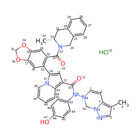 Cc1cnn2c1C=CN(N(C(=O)c1cc(-c3cc4c(cc3C(=O)N3Cc5ccccc5C[C@H]3C)OCO4)n3ccccc13)c1ccc(O)cc1)C2.Cl